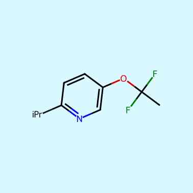 CC(C)c1ccc(OC(C)(F)F)cn1